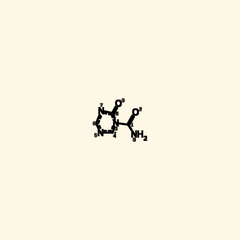 NC(=O)n1[c]ncnc1=O